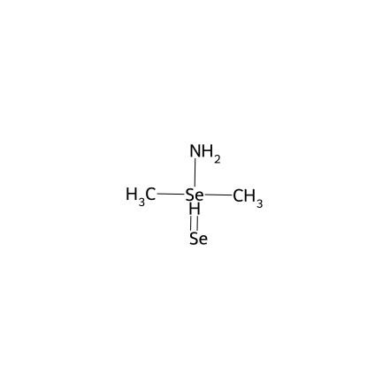 C[SeH](C)(N)=[Se]